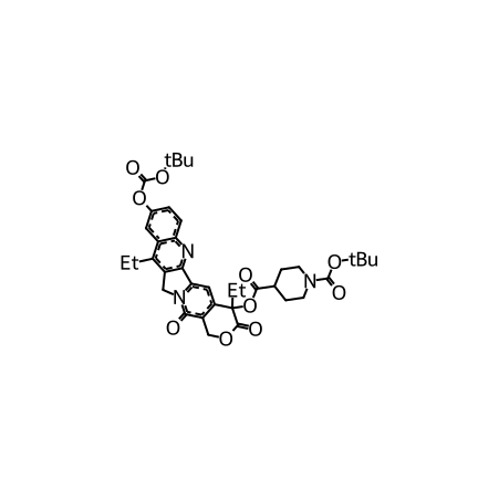 CCc1c2c(nc3ccc(OC(=O)OC(C)(C)C)cc13)-c1cc3c(c(=O)n1C2)COC(=O)C3(CC)OC(=O)C1CCN(C(=O)OC(C)(C)C)CC1